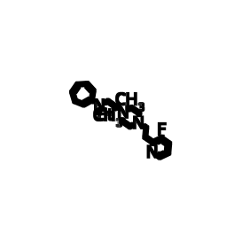 CCC(C)(CN(C)C1=CCC=CC=C1)N1CCN(CCc2ncccc2F)CC1